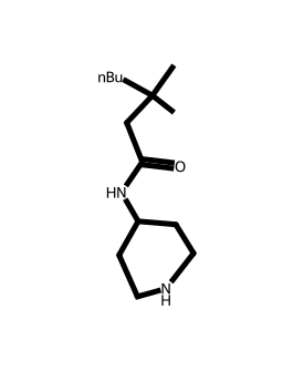 CCCCC(C)(C)CC(=O)NC1CCNCC1